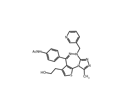 CC(=O)Nc1ccc(C2=NN(Cc3cccnc3)c3nnc(C)n3-c3scc(CCO)c32)cc1